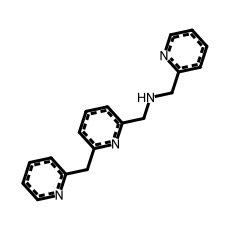 c1ccc(CNCc2cccc(Cc3ccccn3)n2)nc1